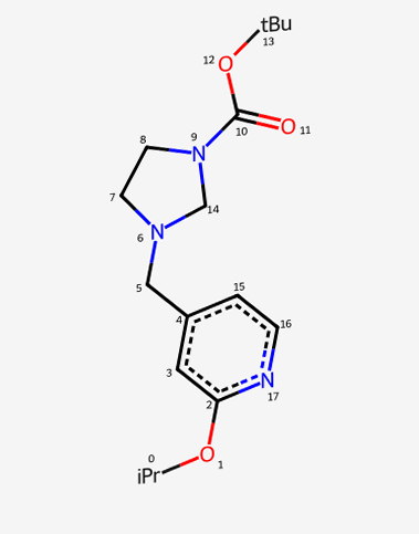 CC(C)Oc1cc(CN2CCN(C(=O)OC(C)(C)C)C2)ccn1